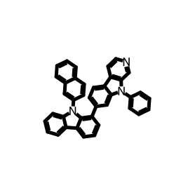 c1ccc(-n2c3cnccc3c3ccc(-c4cccc5c6ccccc6n(-c6ccc7ccccc7c6)c45)cc32)cc1